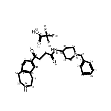 O=C(CCC(=O)c1ccc2c(c1)CCNCC2)NC1CCN(Cc2ccccc2)CC1.O=C(O)C(F)(F)F